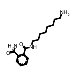 NCCCCCCCCNC(=O)c1ccccc1C(N)=O